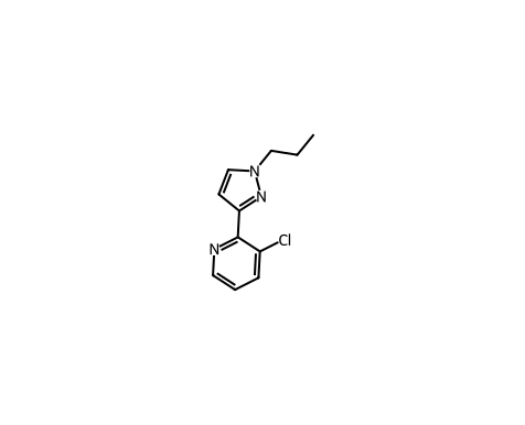 CCCn1ccc(-c2ncccc2Cl)n1